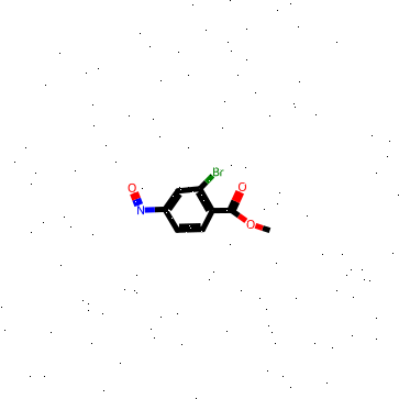 COC(=O)c1ccc(N=O)cc1Br